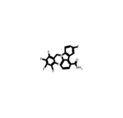 NC(=O)c1cccc2c1c1[c]c(F)ccc1n2Cc1c(F)c(F)c(F)c(F)c1F